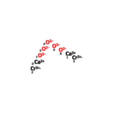 [Ca+2].[Ca+2].[Cr+3].[Cr+3].[O-2].[O-2].[O-2].[O-2].[O-2]